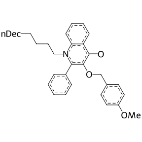 CCCCCCCCCCCCCCn1c(-c2ccccc2)c(OCc2ccc(OC)cc2)c(=O)c2ccccc21